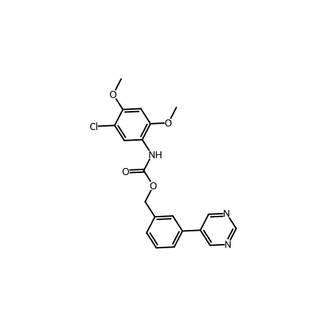 COc1cc(OC)c(NC(=O)OCc2cccc(-c3cncnc3)c2)cc1Cl